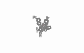 CC(C)c1ccc2cc(S(=O)(=O)N[C@@H](C(=O)N3C4CCC3CC(N)C4)C(F)(F)c3ccc(Br)cc3)ccc2c1.O=C(O)C(F)(F)F